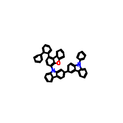 c1ccc(-c2ccccc2-c2ccc(-n3c4ccccc4c4ccc(-c5ccc6c(c5)c5ccccc5n6-c5ccccc5)cc43)c3oc4ccccc4c23)cc1